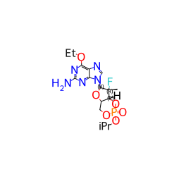 CCOc1nc(N)nc2c1ncn2[C@@H]1OC2COP(=O)(OC(C)C)O[C@H]2[C@@]1(C)F